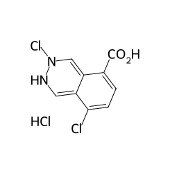 Cl.O=C(O)c1ccc(Cl)c2c1=CN(Cl)NC=2